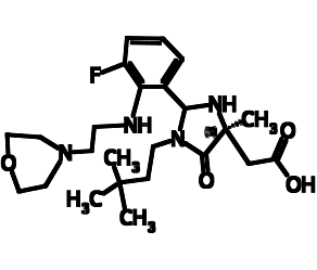 CC(C)(C)CCN1C(=O)[C@](C)(CC(=O)O)NC1c1cccc(F)c1NCCN1CCOCC1